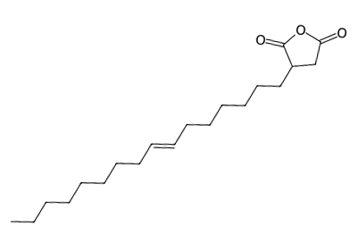 CCCCCCCC/C=C/CCCCCCC1CC(=O)OC1=O